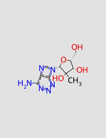 CC1(O)[C@@H](O)[C@@H](CO)O[C@H]1n1cnc2c(N)nnnc21